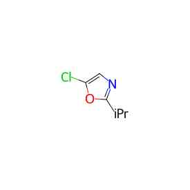 CC(C)c1ncc(Cl)o1